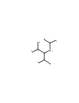 CC(C)SC(C(C)C)C(C)C